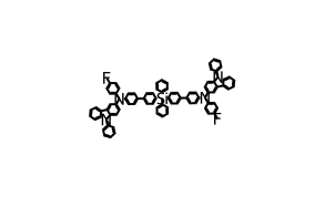 Fc1ccc(N(c2ccc(-c3ccc([Si](c4ccccc4)(c4ccccc4)c4ccc(-c5ccc(N(c6ccc(F)cc6)c6ccc7c(c6)c6ccccc6n7-c6ccccc6)cc5)cc4)cc3)cc2)c2ccc3c(c2)c2ccccc2n3-c2ccccc2)cc1